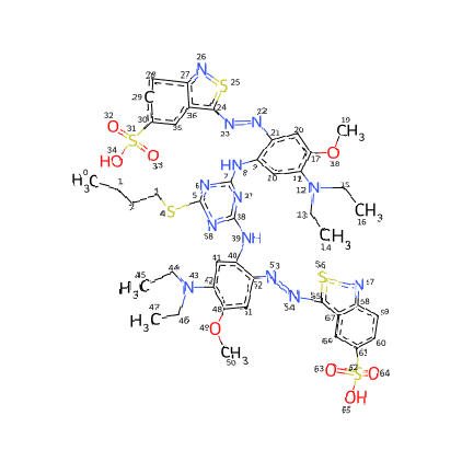 CCCCSc1nc(Nc2cc(N(CC)CC)c(OC)cc2/N=N/c2snc3ccc(S(=O)(=O)O)cc23)nc(Nc2cc(N(CC)CC)c(OC)cc2/N=N/c2snc3ccc(S(=O)(=O)O)cc23)n1